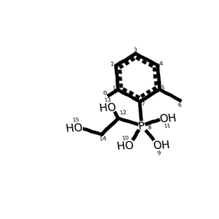 Cc1cccc(C)c1P(O)(O)(O)C(O)CO